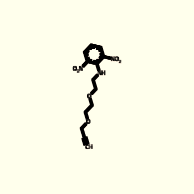 C#CCOCCOCCNc1c([N+](=O)[O-])cccc1[N+](=O)[O-]